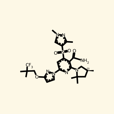 Cc1nn(C)cc1S(=O)(=O)c1cc(-n2ccc(OCC(C)(C)C(F)(F)F)n2)nc(N2C[C@@H](C)CC2(C)C)c1C(N)=O